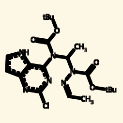 C/C=N\N(C(=O)OC(C)(C)C)C(C)N(C(=O)OC(C)(C)C)c1nc(Cl)nc2cc[nH]c12